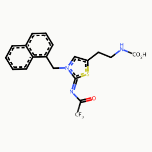 O=C(O)NCCc1cn(Cc2cccc3ccccc23)c(=NC(=O)C(F)(F)F)s1